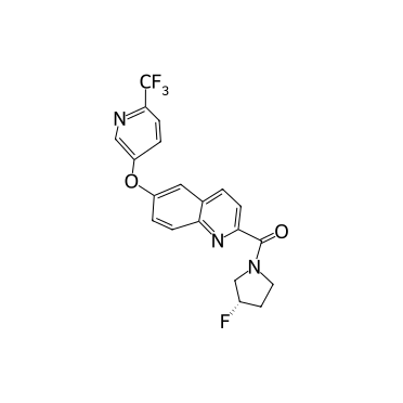 O=C(c1ccc2cc(Oc3ccc(C(F)(F)F)nc3)ccc2n1)N1CC[C@H](F)C1